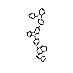 c1ccc(-n2c3ccccc3c3ccc(-c4ccc5c(c4)c4ccccc4n5-c4ccc(-c5cc6ccc7ccccc7c6c6ccccc56)cc4)cc32)cc1